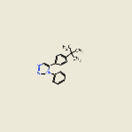 CC(C)(C)c1ccc(C2=CN=NCN2c2ccccc2)cc1